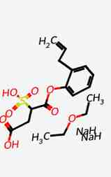 C=CCc1ccccc1OC(=O)C(CC(=O)O)S(=O)(=O)O.CCOCC.[NaH].[NaH]